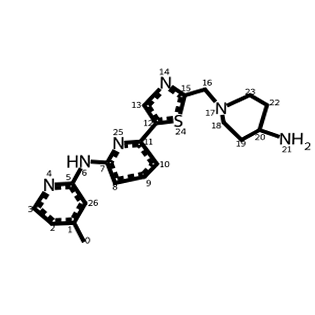 Cc1ccnc(Nc2cccc(-c3cnc(CN4CCC(N)CC4)s3)n2)c1